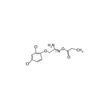 CCC(=O)O/N=C(\N)COc1ccc(Cl)cc1Cl